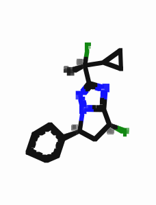 [2H][C@](F)(c1nc2n(n1)[C@H](c1ccccc1)C[C@@H]2F)C1CC1